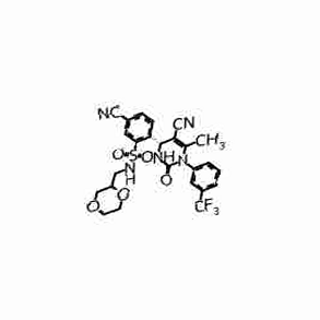 CC1=C(C#N)[C@@H](c2ccc(C#N)cc2S(=O)(=O)NCC2COCCO2)NC(=O)N1c1cccc(C(F)(F)F)c1